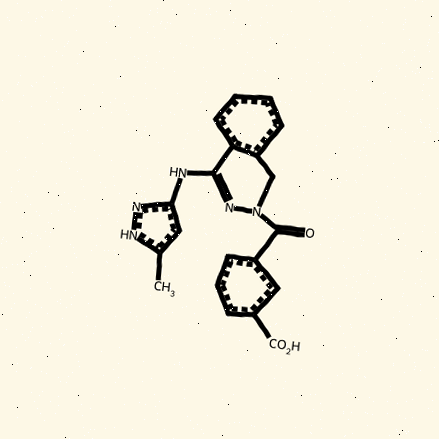 Cc1cc(NC2=NN(C(=O)c3cccc(C(=O)O)c3)Cc3ccccc32)n[nH]1